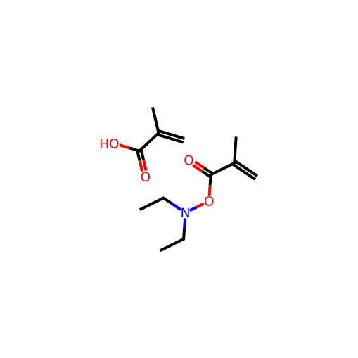 C=C(C)C(=O)O.C=C(C)C(=O)ON(CC)CC